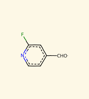 O=[C]c1ccnc(F)c1